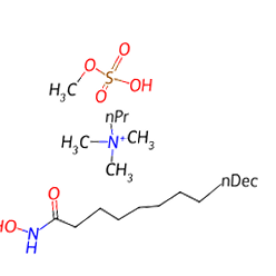 CCCCCCCCCCCCCCCCCC(=O)NO.CCC[N+](C)(C)C.COS(=O)(=O)O